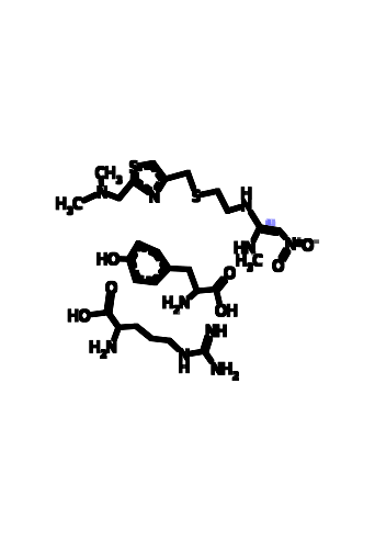 CN/C(=C\[N+](=O)[O-])NCCSCc1csc(CN(C)C)n1.N=C(N)NCCCC(N)C(=O)O.NC(Cc1ccc(O)cc1)C(=O)O